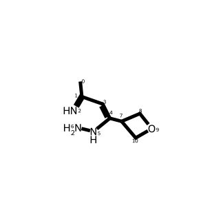 CC(=N)/C=C(\NN)C1COC1